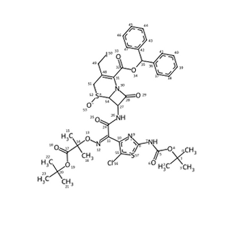 CC(C)(C)OC(=O)Nc1nc(/C(=N/OC(C)(C)C(=O)OC(C)(C)C)C(=O)NC2C(=O)N3C(C(=O)OC(c4ccccc4)c4ccccc4)=C(CI)C[S+]([O-])C23)c(Cl)s1